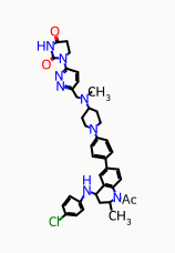 CC(=O)N1c2ccc(-c3ccc(N4CCC(N(C)Cc5ccc(N6CCC(=O)NC6=O)nn5)CC4)cc3)cc2C(Nc2ccc(Cl)cc2)CC1C